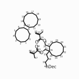 C1CCCCCCCCC1.C1CCCCCCCCC1.C=C(C)C(=O)OCC1CCCCCCCCC1(CCCCCCCCCCCCC)COC(=O)C(=C)C